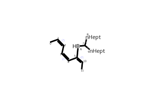 C\C=C/C=C\C(BC(CCCCCCC)CCCCCCC)=C/C